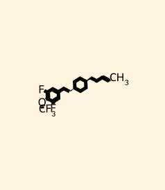 C/C=C/CC[C@H]1CC[C@H](CCc2cc(F)c(OC(F)(F)F)c(F)c2)CC1